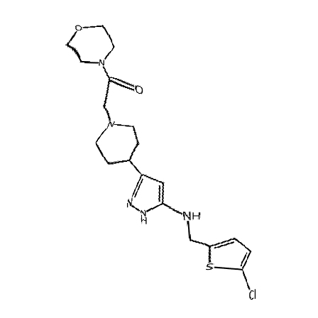 O=C(CN1CCC(c2cc(NCc3ccc(Cl)s3)[nH]n2)CC1)N1CCOCC1